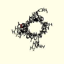 CC[C@H](C)[C@@H]1NC(=O)[C@@H](CCCNC(=N)N)NC(=O)[C@H](CC(C)C)NC(=O)[C@H]([C@H](O)C(C)C)NC(=O)[C@@H](NC(=O)[C@H](CC(C)C)NC(=O)[C@H](N)CC(C)C)[C@@H](c2ccccc2)OC(=O)[C@H](CO)NC(=O)[C@H]([C@H](O)C(=O)NCCO)NC(=O)CNC(=O)[C@H]([C@H](C)O)NC1=O